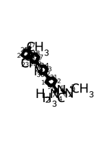 CC/N=C(C)\N=C(/N)c1ccc(-c2ccc(-c3ccc4c(c3)C3(C)CCC4(C)C3)nc2)cc1